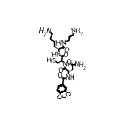 NCCCC[C@H](NC(=O)C(CS)NC(=O)[C@H](CC(N)=O)NC(=O)c1ccc2c(c1)OCO2)C(=O)NCCCN